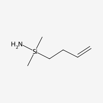 C=CCC[Si](C)(C)N